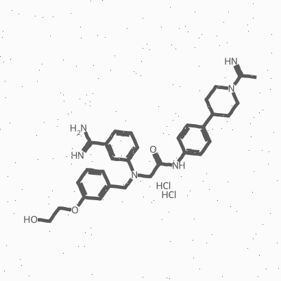 CC(=N)N1CCC(c2ccc(NC(=O)CN(Cc3cccc(OCCO)c3)c3cccc(C(=N)N)c3)cc2)CC1.Cl.Cl